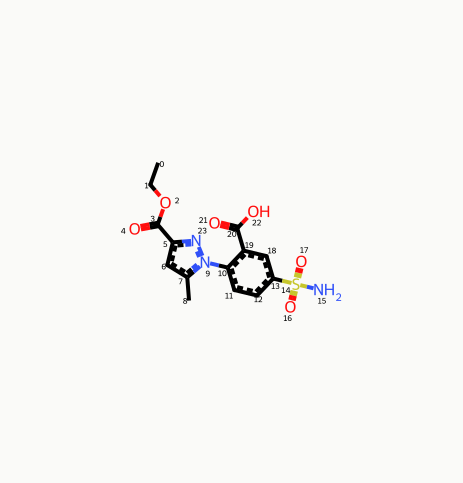 CCOC(=O)c1cc(C)n(-c2ccc(S(N)(=O)=O)cc2C(=O)O)n1